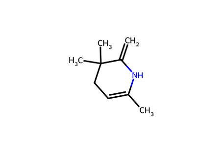 C=C1NC(C)=CCC1(C)C